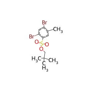 Cc1cc(S(=O)(=O)OCC(C)(C)C)c(Br)cc1Br